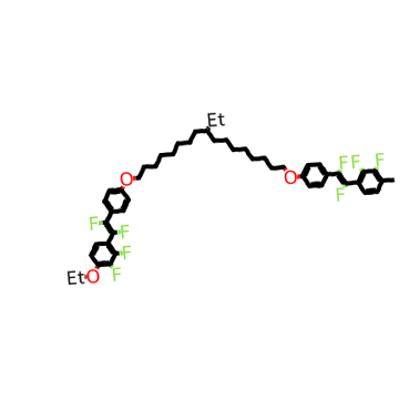 CCOc1ccc(/C(F)=C(\F)c2ccc(OCCCCCCCCC(CC)CCCCCCCCOc3ccc(/C(F)=C(\F)c4ccc(C)c(F)c4F)cc3)cc2)c(F)c1F